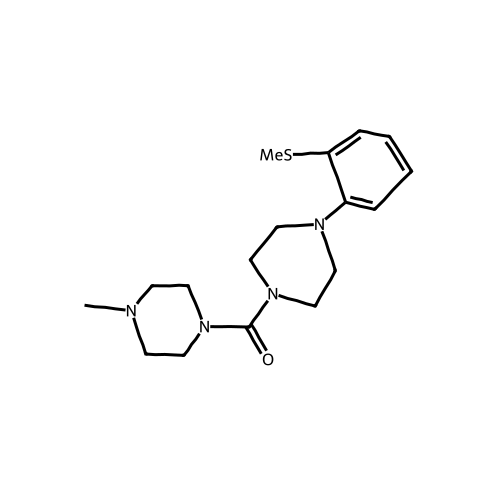 CSc1ccccc1N1CCN(C(=O)N2CCN(C)CC2)CC1